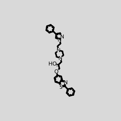 O[C@H](COc1ccc2sc(-c3ccccc3)nc2c1)CN1CCN(CCn2cc(-c3ccccc3)cn2)CC1